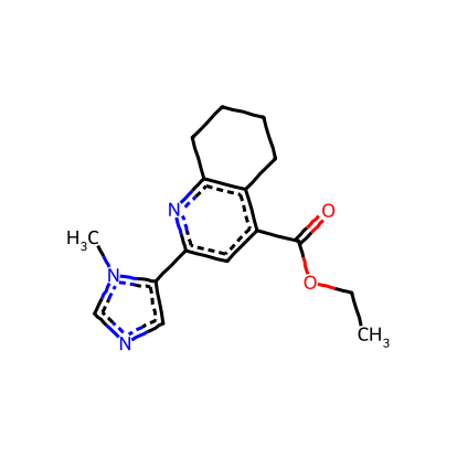 CCOC(=O)c1cc(-c2cncn2C)nc2c1CCCC2